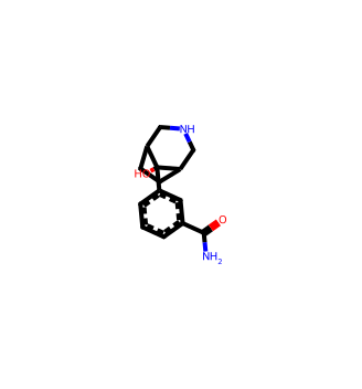 NC(=O)c1cccc(C2(O)C3CCC2CNC3)c1